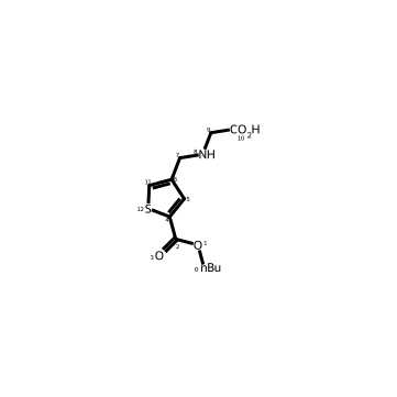 CCCCOC(=O)c1cc(CNCC(=O)O)cs1